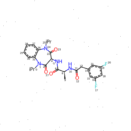 CC(C)N1C(=O)C(NC(=O)[C@H](C)NC(=O)Cc2cc(F)cc(F)c2)C(=O)N(C(C)C)c2ccccc21